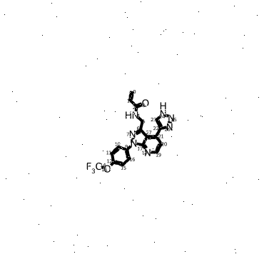 C=CC(=O)NCc1nn(-c2ccc(OC(F)(F)F)cc2)c2nccc(-c3c[nH]nn3)c12